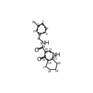 Cc1cccc(CNC(=O)c2c[nH]c3c(c2=O)CCCC3)c1